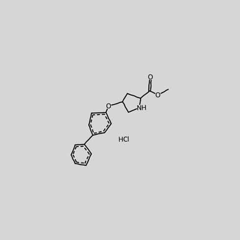 COC(=O)C1CC(Oc2ccc(-c3ccccc3)cc2)CN1.Cl